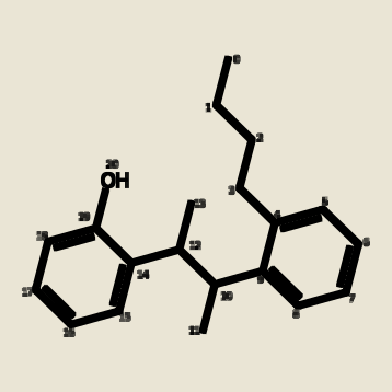 CCCCc1ccccc1C(C)C(C)c1ccccc1O